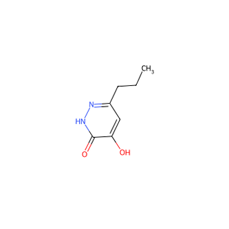 CCCc1cc(O)c(=O)[nH]n1